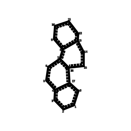 [c]1cccc2c[c]c3c4ccccc4ccc3c12